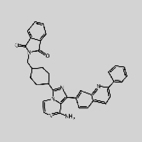 Nc1nccn2c(C3CCC(CN4C(=O)c5ccccc5C4=O)CC3)nc(-c3ccc4ccc(-c5ccccc5)nc4c3)c12